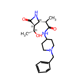 CC(C(=O)NC1CCN(Cc2ccccc2)CC1)[C@H]1NC(=O)[C@@H]1[C@@H](C)O